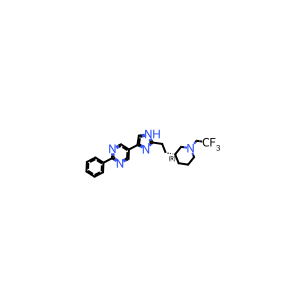 FC(F)(F)CN1CCC[C@H](CCc2nc(-c3cnc(-c4ccccc4)nc3)c[nH]2)C1